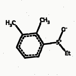 CC[S+]([O-])c1cccc(C)c1C